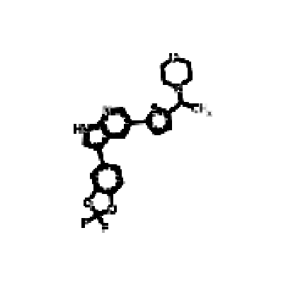 CC(c1ccc(-c2cnc3[nH]cc(-c4ccc5c(c4)OC(F)(F)O5)c3c2)s1)N1CCOCC1